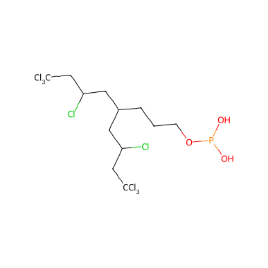 OP(O)OCCCC(CC(Cl)CC(Cl)(Cl)Cl)CC(Cl)CC(Cl)(Cl)Cl